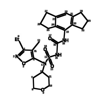 CCc1noc(N(C2CCOCC2)S(=O)(=O)NC(=O)Nc2c3c(cc4c2CCC4)CCC3)c1C